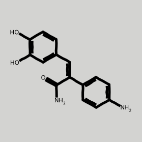 NC(=O)C(=Cc1ccc(O)c(O)c1)c1ccc(N)cc1